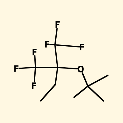 CCC(OC(C)(C)C)(C(F)(F)F)C(F)(F)F